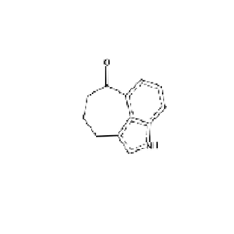 O=C1CCCc2c[nH]c3cccc1c23